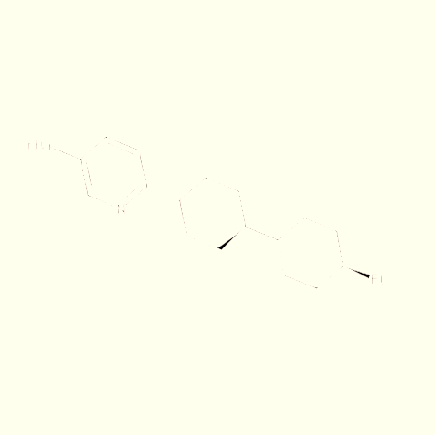 CCCCc1ccc([C@H]2CC[C@H]([C@H]3CC[C@H](CC)CC3)CC2)nc1